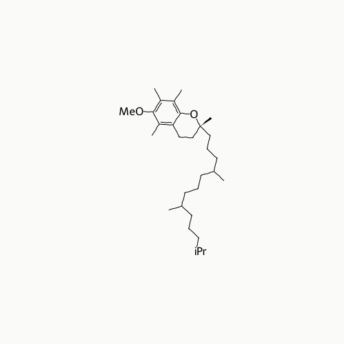 COc1c(C)c(C)c2c(c1C)CC[C@@](C)(CCCC(C)CCCC(C)CCCC(C)C)O2